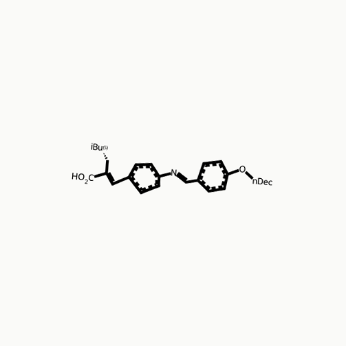 CCCCCCCCCCOc1ccc(C=Nc2ccc(C=C(C[C@@H](C)CC)C(=O)O)cc2)cc1